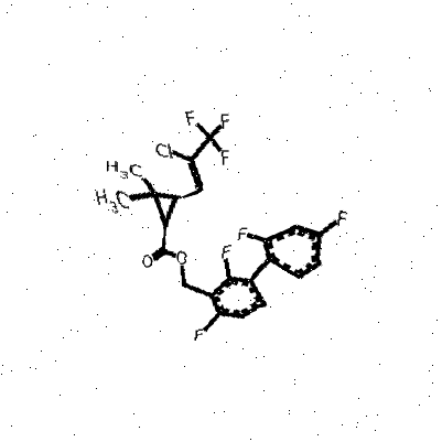 CC1(C)[C@H](C(=O)OCc2c(F)ccc(-c3ccc(F)cc3F)c2F)[C@@H]1/C=C(\Cl)C(F)(F)F